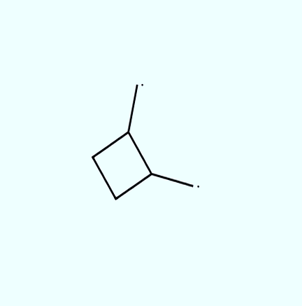 [CH2]C1CCC1[CH2]